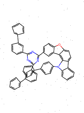 c1ccc(-c2ccc(-n3c4ccccc4c4ccc5oc6ccc(-c7nc(-c8cccc(-c9ccccc9)c8)nc(-c8cccc(-c9ccccc9)c8)n7)cc6c5c43)cc2)cc1